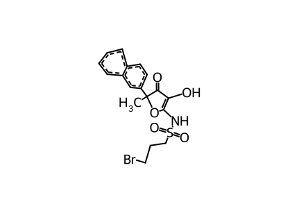 CC1(c2ccc3ccccc3c2)OC(NS(=O)(=O)CCCBr)=C(O)C1=O